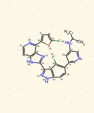 CC(C)Nc1cncc(-c2ccc3[nH]nc(-c4nc5c(-c6ccc(F)s6)nccc5[nH]4)c3c2F)c1